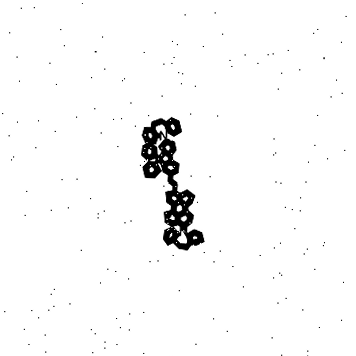 C1=Cc2ccccc2N(c2ccc3c(c2)C(c2ccccc2)(c2ccccc2)c2cc(/C=C/c4ccc5c6cccc7c(N8c9ccccc9C=Cc9ccccc98)ccc(c8cccc4c58)c76)ccc2-3)c2ccccc21